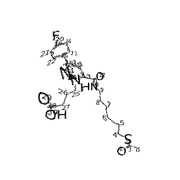 CC(=O)SCCCCCCNC(=O)c1cc(-c2ccc(F)cc2)nn1CCCC(=O)O